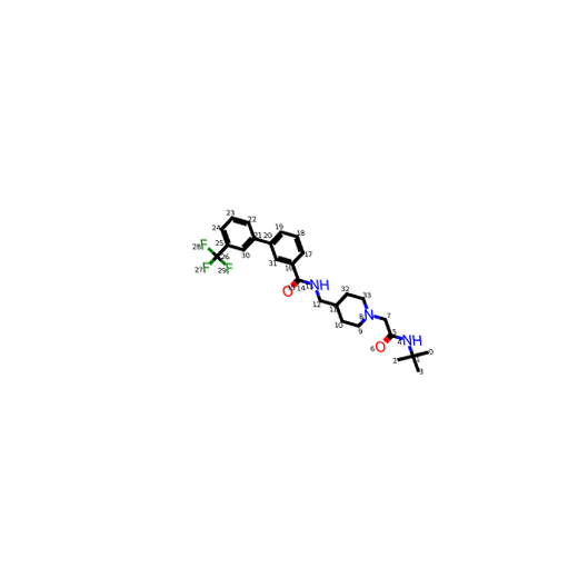 CC(C)(C)NC(=O)CN1CCC(CNC(=O)c2cccc(-c3cccc(C(F)(F)F)c3)c2)CC1